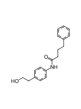 O=C(CCCc1ccccc1)Nc1ccc(CCO)cc1